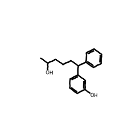 CC(O)CCCC(c1ccccc1)c1cccc(O)c1